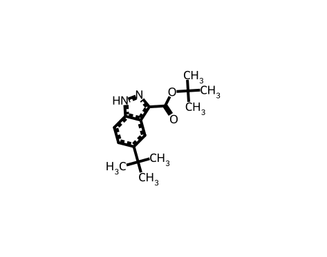 CC(C)(C)OC(=O)c1n[nH]c2ccc(C(C)(C)C)cc12